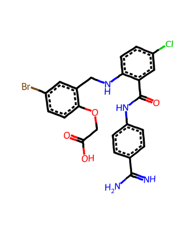 N=C(N)c1ccc(NC(=O)c2cc(Cl)ccc2NCc2cc(Br)ccc2OCC(=O)O)cc1